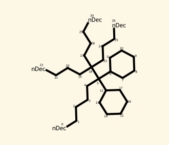 CCCCCCCCCCCCCCC(C1CC[CH]CC1)(C1CC[CH]CC1)C(CCCCCCCCCCCCC)(CCCCCCCCCCCCC)CCCCCCCCCCCCC